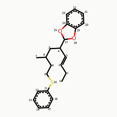 CCC=CC([CH]C(C)CCSc1ccccc1)C1Oc2ccccc2O1